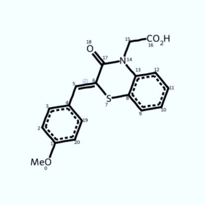 COc1ccc(/C=C2\Sc3ccccc3N(CC(=O)O)C2=O)cc1